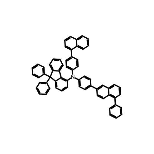 c1ccc(-c2cccc3cc(-c4ccc(N(c5ccc(-c6cccc7ccccc67)cc5)c5cccc6c5-c5ccccc5C6(c5ccccc5)c5ccccc5)cc4)ccc23)cc1